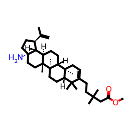 C=C(C)[C@@H]1CC[C@]2(N)CC[C@]3(C)[C@H](CC[C@@H]4[C@@]5(C)CC=C(CCC(C)(C)CC(=O)OC)C(C)(C)[C@@H]5CC[C@]43C)[C@@H]12